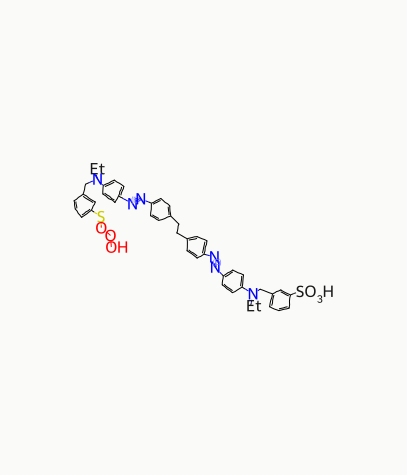 CCN(Cc1cccc(SOOO)c1)c1ccc(/N=N/c2ccc(CCc3ccc(/N=N/c4ccc(N(CC)Cc5cccc(S(=O)(=O)O)c5)cc4)cc3)cc2)cc1